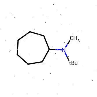 CN(C1CCCCCC1)C(C)(C)C